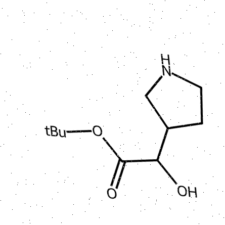 CC(C)(C)OC(=O)C(O)C1CCNC1